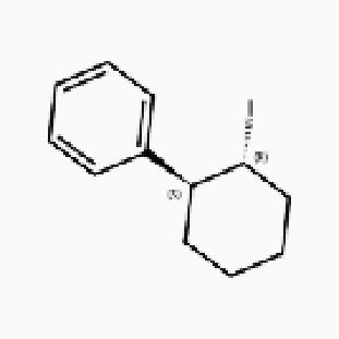 I[C@@H]1CCCC[C@H]1c1ccccc1